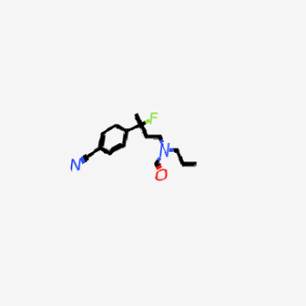 CCCN(C=O)CCC(C)(F)C1C=CC(C#N)=CC1